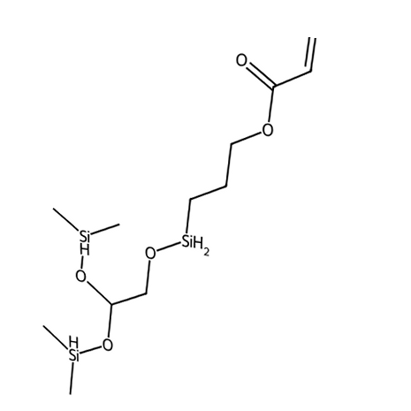 C=CC(=O)OCCC[SiH2]OCC(O[SiH](C)C)O[SiH](C)C